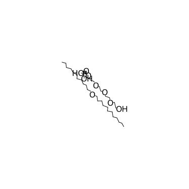 CCCCCCCCCCCCOCCCCCCCCCCCC.O=P(O)(O)OCCOCCOCCOCCO